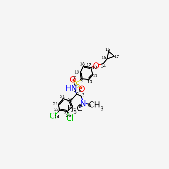 CN(C)CC(NS(=O)(=O)c1ccc(OCC2CC2)cc1)c1ccc(Cl)c(Cl)c1